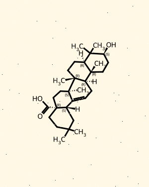 CC1(C)CC[C@@]2(C(=O)O)CC[C@]3(C)C(=CC[C@@H]4[C@@]5(C)CC[C@H](O)C(C)(C)[C@@H]5CC[C@]43C)[C@@H]2C1